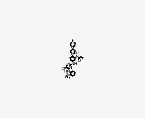 C=CC(=O)Nc1cc(Nc2ncc(Cl)c(Nc3ccccc3P(C)(C)=O)n2)ccc1N1CCC(N2CCN(C)CC2)CC1